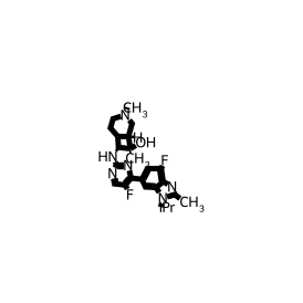 Cc1nc2c(F)cc(-c3nc(N[C@H]4C5CCN(C)C[C@@H]5[C@@]4(C)O)ncc3F)cc2n1C(C)C